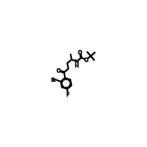 CC(CCC(=O)c1ccc(F)cc1Br)NC(=O)OC(C)(C)C